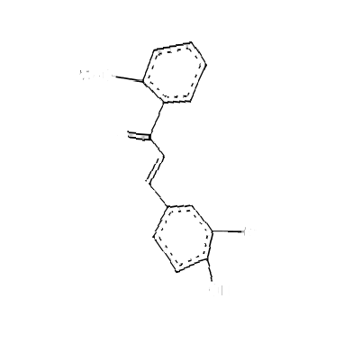 COc1ccccc1C(=O)/C=C/c1ccc(O)c(Br)c1